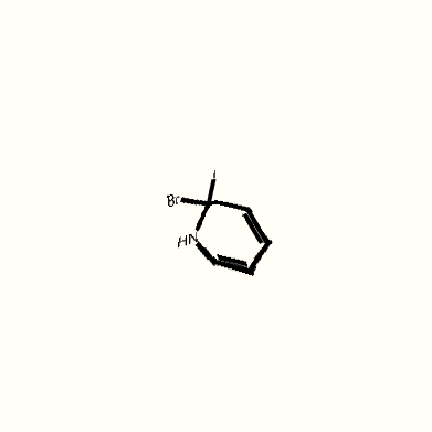 BrC1(I)C=CC=CN1